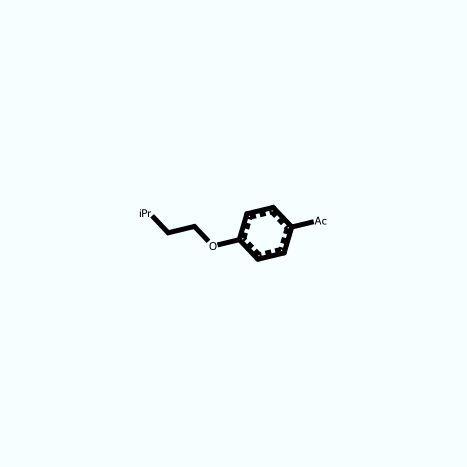 CC(=O)c1ccc(OCCC(C)C)cc1